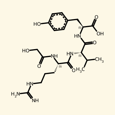 CC(C)[C@H](NC(=O)[C@H](CCCNC(=N)N)NC(=O)CO)C(=O)N[C@@H](Cc1ccc(O)cc1)C(=O)O